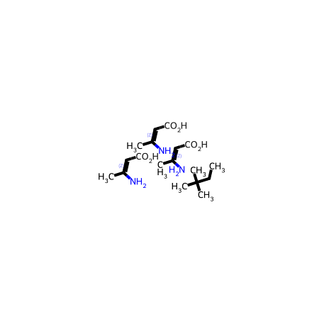 C/C(N)=C/C(=O)O.C/C(N)=C/C(=O)O.C/C(N)=C/C(=O)O.CCC(C)(C)C